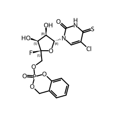 O=c1[nH]c(=S)c(Cl)cn1[C@@H]1O[C@](F)(COP2(=O)OCc3ccccc3O2)[C@@H](O)[C@H]1O